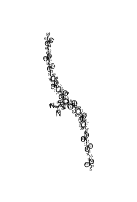 C=CC(=O)OCCCCOC(=O)CCC(=O)OCCc1ccc(OC(=O)[C@H]2CC[C@H](C(=O)Oc3ccc(OC(=O)[C@H]4CC[C@H](C(=O)Oc5ccc(CCOC(=O)CCC(=O)OCCCCOC(=O)C=C)cc5)CC4)c4c3SC(=C(C#N)C#N)S4)CC2)cc1